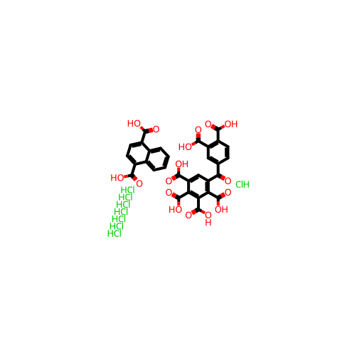 Cl.Cl.Cl.Cl.Cl.Cl.Cl.Cl.O=C(O)c1ccc(C(=O)O)c2ccccc12.O=C(O)c1ccc(C(=O)c2cc(C(=O)O)c(C(=O)O)c(C(=O)O)c2C(=O)O)cc1C(=O)O